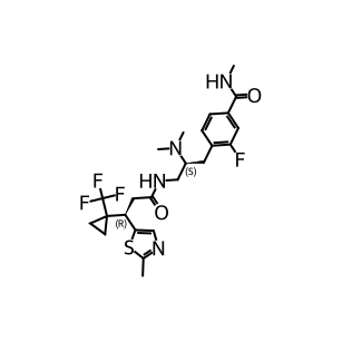 CNC(=O)c1ccc(C[C@@H](CNC(=O)C[C@@H](c2cnc(C)s2)C2(C(F)(F)F)CC2)N(C)C)c(F)c1